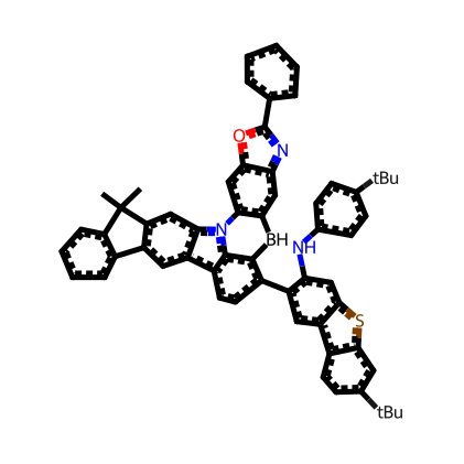 CC(C)(C)c1ccc(Nc2cc3sc4cc(C(C)(C)C)ccc4c3cc2-c2ccc3c4cc5c(cc4n4c3c2Bc2cc3nc(-c6ccccc6)oc3cc2-4)C(C)(C)c2ccccc2-5)cc1